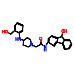 O=C(CN1CCC(Nc2ccccc2CO)CC1)Nc1ccc2c(c1)-c1ccccc1C2O